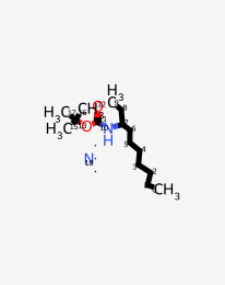 CCCCCCCC(CC)NC(=O)OC(C)(C)C.[N]